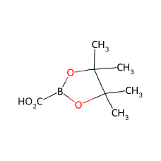 CC1(C)OB(C(=O)O)OC1(C)C